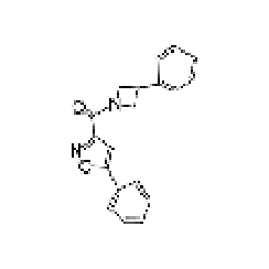 O=C(c1cc(-c2ccccc2)on1)N1CC(c2ccccc2)C1